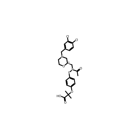 CC(=O)N(C[C@@H]1CN(Cc2ccc(Cl)c(Cl)c2)CCO1)Sc1ccc(OC(C)(C)C(=O)O)cc1